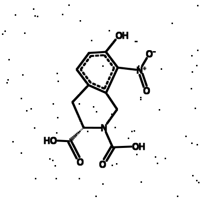 O=C(O)[C@@H]1Cc2ccc(O)c([N+](=O)[O-])c2CN1C(=O)O